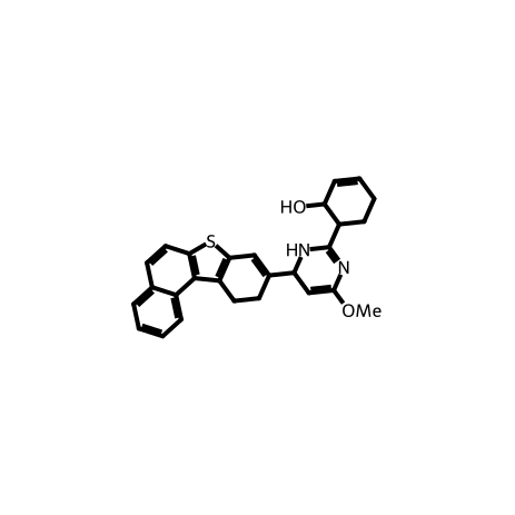 COC1=CC(C2=Cc3sc4ccc5ccccc5c4c3CC2)NC(C2CCC=CC2O)=N1